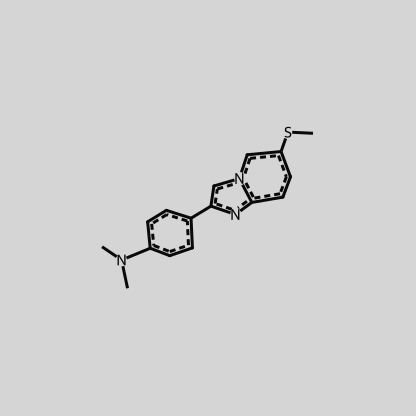 CSc1ccc2nc(-c3ccc(N(C)C)cc3)cn2c1